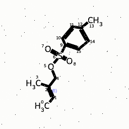 C/C=C(\C)COS(=O)(=O)c1ccc(C)cc1